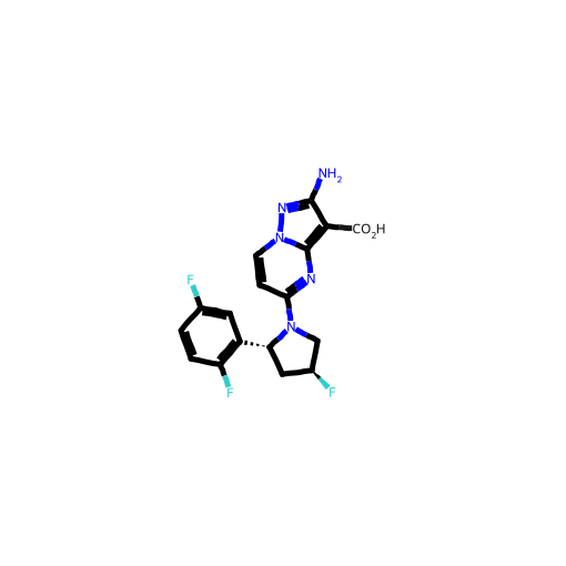 Nc1nn2ccc(N3C[C@@H](F)C[C@@H]3c3cc(F)ccc3F)nc2c1C(=O)O